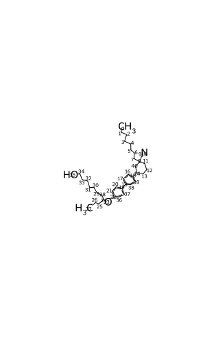 CCCCCCCCC1(C#N)CCCC(c2ccc(-c3ccc(OC(CCC)CCCCCCCO)cc3)cc2)C1